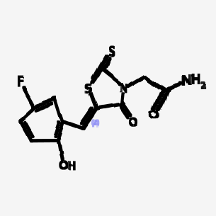 NC(=O)CN1C(=O)/C(=C/c2cc(F)ccc2O)SC1=S